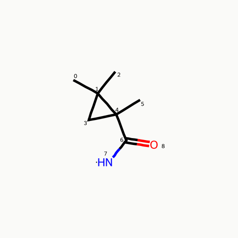 CC1(C)CC1(C)C([NH])=O